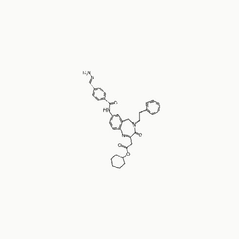 NN=Cc1ccc(C(=O)Nc2ccc3c(c2)CN(CCc2ccccc2)C(=O)C(CC(=O)OC2CCCCC2)=N3)cc1